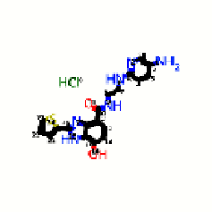 Cl.Nc1ccc(NCCNC(=O)c2ccc(O)c3[nH]c(-c4cccs4)nc23)nc1